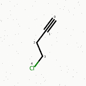 C#C[CH]CCl